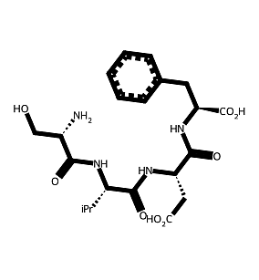 CC(C)[C@H](NC(=O)[C@@H](N)CO)C(=O)N[C@@H](CC(=O)O)C(=O)N[C@@H](Cc1ccccc1)C(=O)O